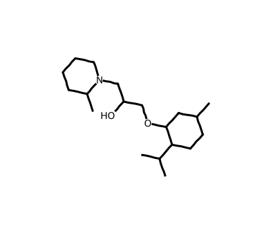 CC1CCC(C(C)C)C(OCC(O)CN2CCCCC2C)C1